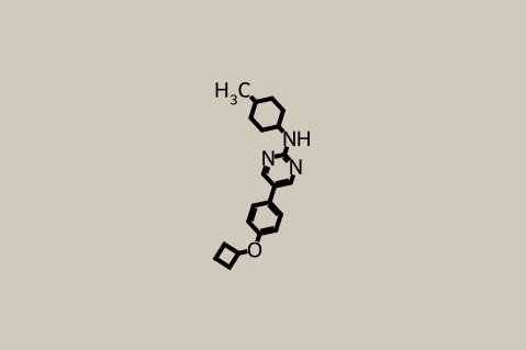 CC1CCC(Nc2ncc(-c3ccc(OC4CCC4)cc3)cn2)CC1